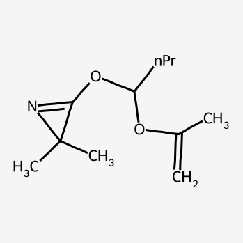 C=C(C)OC(CCC)OC1=NC1(C)C